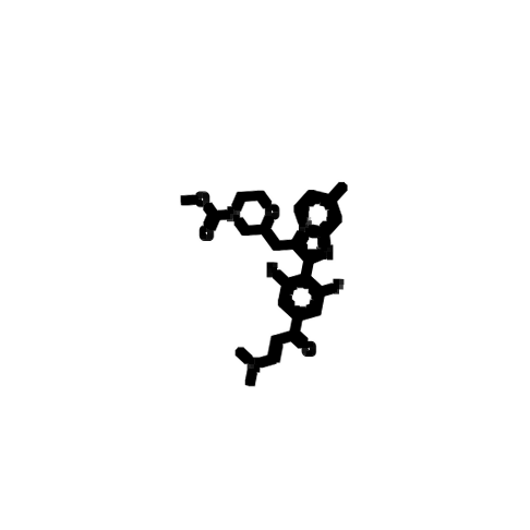 COC(=O)N1CCOC(Cc2c(-c3c(F)cc(C(=O)/C=C/N(C)C)cc3F)nc3cc(C)ccn23)C1